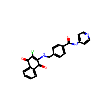 O=C(Nc1ccncc1)c1ccc(CNC2=C(Cl)C(=O)c3ccccc3C2=O)cc1